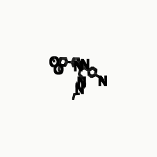 CCCN1CCN(CCc2c(-c3ccc(C#N)cc3)nc3ccc(-c4ccc(OC)c(OC)c4)cn23)CC1